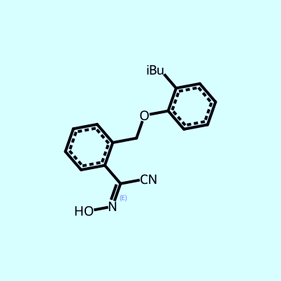 CCC(C)c1ccccc1OCc1ccccc1/C(C#N)=N\O